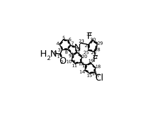 NC(=O)c1cccc2c1c1[c]cc(-c3ccc(Cl)cc3)cc1n2Cc1cc(F)ccc1F